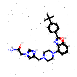 CC(C)(C)c1ccc(-c2nc3c(N4CCN(Cc5cn(CC(N)=O)cn5)CC4)cccc3o2)cc1